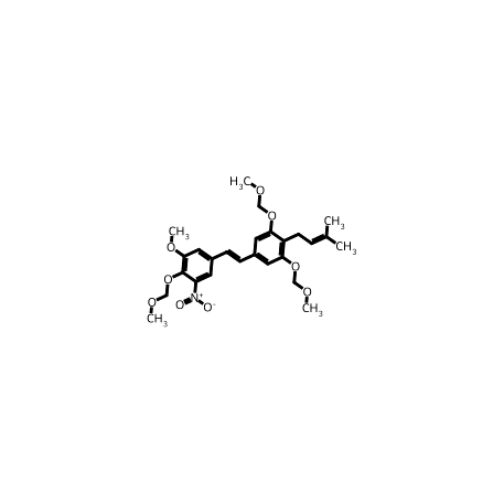 COCOc1cc(/C=C/c2cc(OC)c(OCOC)c([N+](=O)[O-])c2)cc(OCOC)c1CC=C(C)C